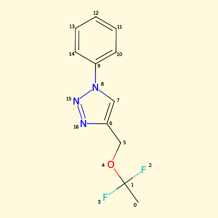 CC(F)(F)OCc1cn(-c2ccccc2)nn1